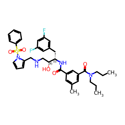 CCCN(CCC)C(=O)c1cc(C)cc(C(=O)N[C@@H](Cc2cc(F)cc(F)c2)[C@H](O)CNCc2cccn2S(=O)(=O)c2ccccc2)c1